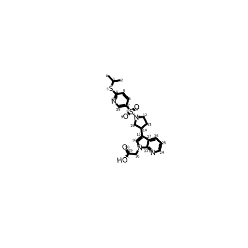 CC(C)Sc1ccc(S(=O)(=O)N2CCC(c3cn(CC(=O)O)c4ncccc34)C2)cn1